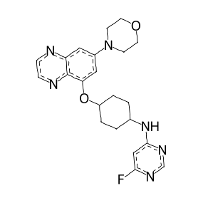 Fc1cc(NC2CCC(Oc3cc(N4CCOCC4)cc4nccnc34)CC2)ncn1